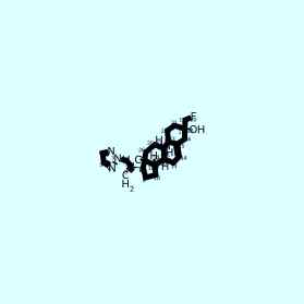 C=C(Cn1nccn1)[C@H]1CC[C@H]2[C@@H]3CC=C4C[C@](O)(CF)CC[C@@H]4[C@H]3CC[C@]12C